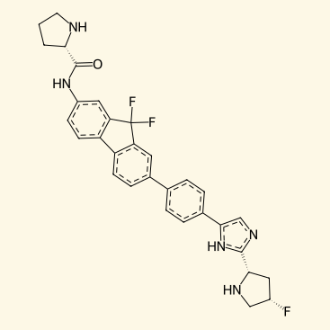 O=C(Nc1ccc2c(c1)C(F)(F)c1cc(-c3ccc(-c4cnc([C@@H]5C[C@H](F)CN5)[nH]4)cc3)ccc1-2)[C@@H]1CCCN1